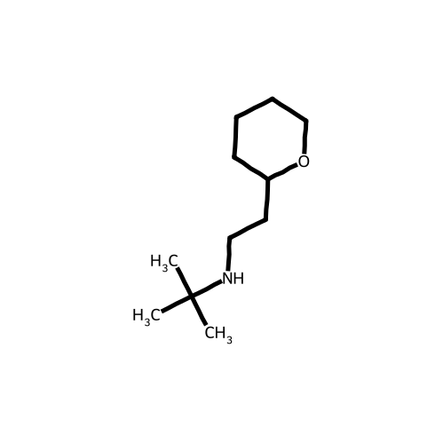 CC(C)(C)NCCC1CCCCO1